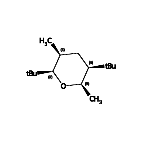 C[C@H]1C[C@@H](C(C)(C)C)[C@@H](C)O[C@H]1C(C)(C)C